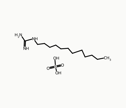 CCCCCCCCCCCCNC(=N)N.O=S(=O)(O)O